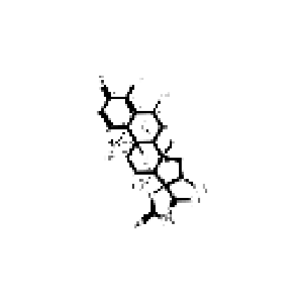 CC(=O)O[C@]1(C(O)=S)[C@H](C)C[C@H]2[C@@H]3C[C@H](F)C4=C(F)C(=O)C=C[C@]4(C)[C@@]3(Cl)[C@@H](Cl)C[C@@]21C